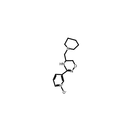 [O-][n+]1cccc(C2=NOCC(CN3CCCCC3)N2)c1